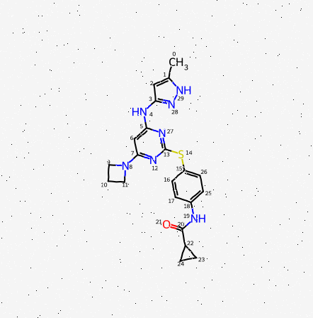 Cc1cc(Nc2cc(N3CCC3)nc(Sc3ccc(NC(=O)C4CC4)cc3)n2)n[nH]1